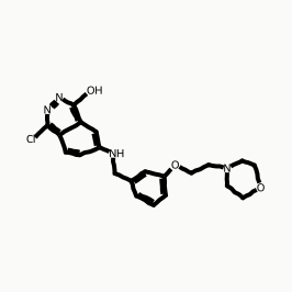 Oc1nnc(Cl)c2ccc(NCc3cccc(OCCN4CCOCC4)c3)cc12